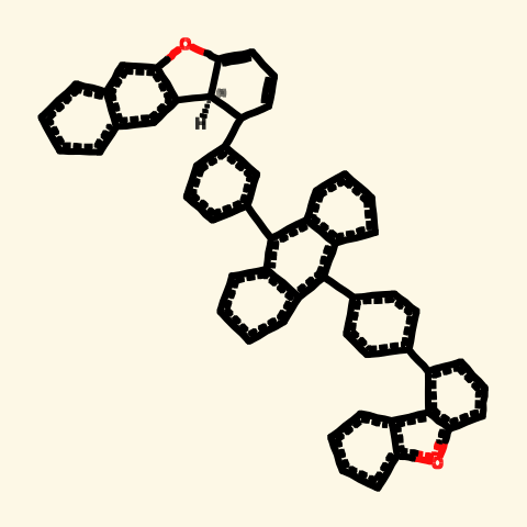 C1=CC(c2cccc(-c3c4ccccc4c(-c4ccc(-c5cccc6oc7ccccc7c56)cc4)c4ccccc34)c2)[C@@H]2C(=C1)Oc1cc3ccccc3cc12